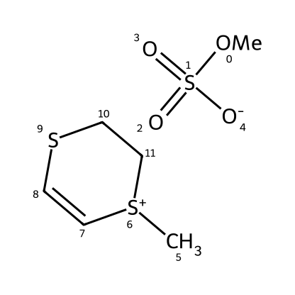 COS(=O)(=O)[O-].C[S+]1C=CSCC1